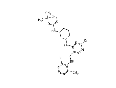 Cc1cccc(F)c1NCc1cnc(Cl)nc1NC1CCCC(NC(=O)OC(C)(C)C)C1